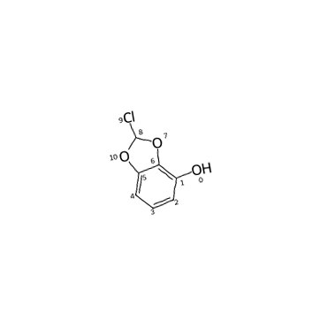 Oc1cccc2c1OC(Cl)O2